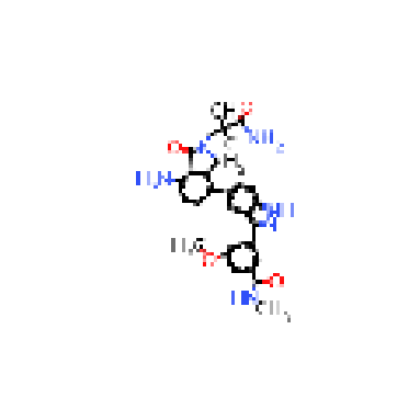 CNC(=O)c1cc(OC)cc(-c2n[nH]c3ccc(-c4ccc(N)c5c4CN(CC(C)(C)C(N)=O)C5=O)cc23)c1